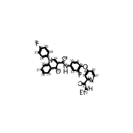 CCNC(=O)c1cc(Oc2ccc(NC(=O)c3cn(-c4ccc(F)cc4)c4ccccc4c3=O)cc2F)ccn1